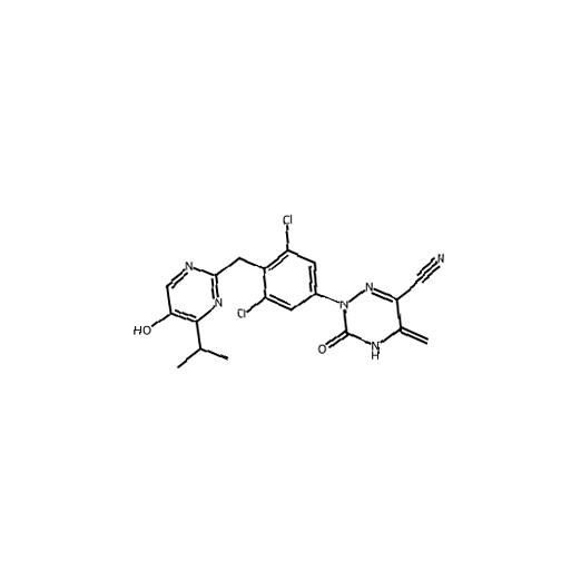 C=C1NC(=O)N(c2cc(Cl)c(Cc3ncc(O)c(C(C)C)n3)c(Cl)c2)N=C1C#N